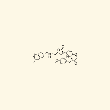 COc1ccc(CN2C(=O)COc3ccc(N4CC(CCNCC5Cc6cc(C)nc(C)c6C5)OC4=O)nc32)cc1